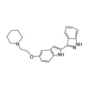 [c]1ccc2[nH]nc(-c3cc4cc(OCCN5CCCCC5)ccc4[nH]3)c2c1